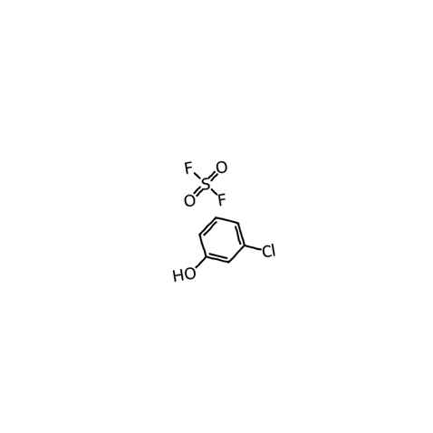 O=S(=O)(F)F.Oc1cccc(Cl)c1